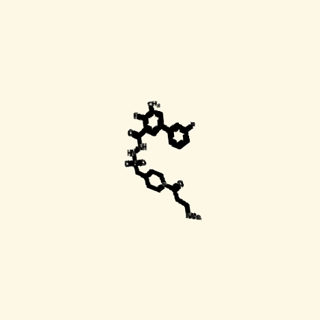 CNCCC(=O)N1CCC(CS(=O)(=O)NNC(=O)c2cc(-c3cccc(F)c3)cc(C)c2F)CC1